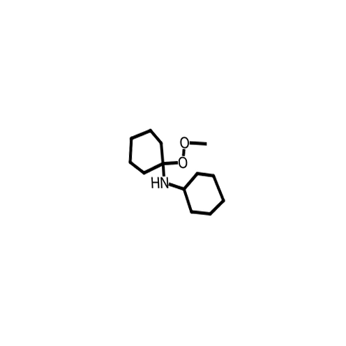 COOC1(NC2CCCCC2)CCCCC1